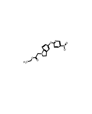 CCOC(=O)CN1CCc2cc(Oc3ccc([N+](=O)[O-])cn3)ccc21